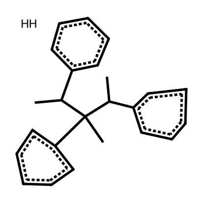 CC(c1ccccc1)C(C)(c1ccccc1)C(C)c1ccccc1.[HH]